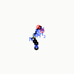 N#C/C(=C\c1ccc2cc(N3CCCCC3)ccc2c1)SNC/C(N)=C/NCC1CC(N=O)CCO1